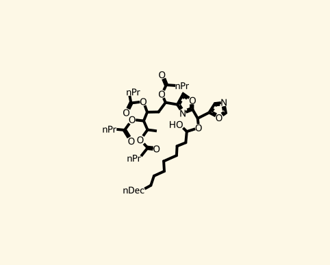 CCCCCCCCCCCCCCCCCC(O)OC(c1cnco1)c1nc(C(CC(OC(=O)CCC)C(OC(=O)CCC)C(C)OC(=O)CCC)OC(=O)CCC)co1